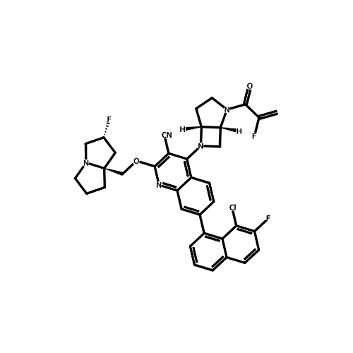 C=C(F)C(=O)N1CC[C@@H]2[C@H]1CN2c1c(C#N)c(OC[C@@]23CCCN2C[C@H](F)C3)nc2cc(-c3cccc4ccc(F)c(Cl)c34)ccc12